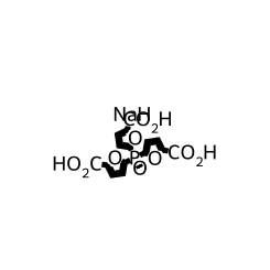 O=C(O)c1ccc(P(=O)(c2ccc(C(=O)O)o2)c2ccc(C(=O)O)o2)o1.[NaH]